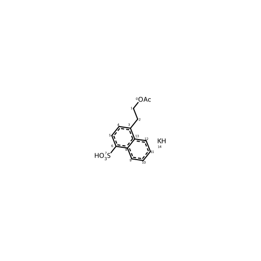 CC(=O)OCCc1ccc(S(=O)(=O)O)c2ccccc12.[KH]